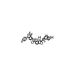 CCN1CCN(Cc2ccc(NC(=O)c3ccc(C)c(NC(=O)c4cc5cnc6[nH]ccc6c5s4)c3)cc2C(F)(F)F)CC1